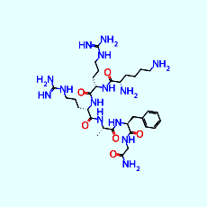 C[C@H](NC(=O)[C@H](CCCNC(=N)N)NC(=O)[C@H](CCCNC(=N)N)NC(=O)[C@@H](N)CCCCN)C(=O)N[C@@H](Cc1ccccc1)C(=O)NCC(N)=O